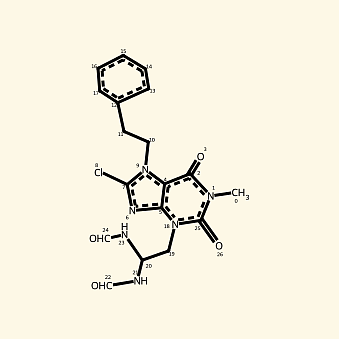 Cn1c(=O)c2c(nc(Cl)n2CCc2ccccc2)n(CC(NC=O)NC=O)c1=O